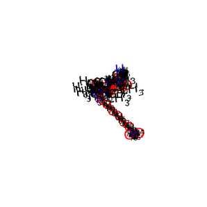 CC[C@H](C)[C@@H]([C@@H](CC(=O)N1CCC[C@H]1[C@H](OC)[C@@H](C)C(=S)N[C@@H](Cc1ccccc1)C(=O)OC)OC)N(C)C(=O)[C@@H](NC(=O)[C@H](C(C)C)N(C)C(=O)CCOCCOCCOCCOCCOCCOCCN1C(=O)C=CC1=O)C(C)C